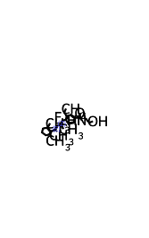 CCc1cc(C(=O)NCCO)ccc1/C(F)=C(C)/C=C/C1=C(C)CCCC1(C)C